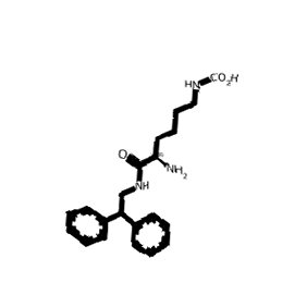 N[C@H](CCCCNC(=O)O)C(=O)NCC(c1ccccc1)c1ccccc1